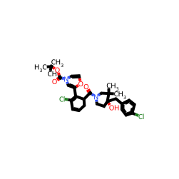 CC(C)(C)OC(=O)N1C=COC(C2=C(Cl)C=CCC2C(=O)N2CCC(O)(Cc3ccc(Cl)cc3)C(C)(C)C2)=C1